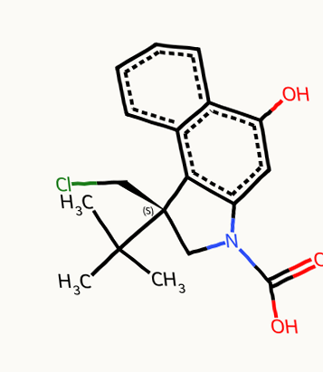 CC(C)(C)[C@@]1(CCl)CN(C(=O)O)c2cc(O)c3ccccc3c21